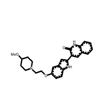 COC1CCN(CCOc2ccc3[nH]c(-c4cc5ccccc5[nH]c4=O)cc3c2)CC1